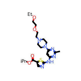 CCOCCOCCN1CCN(c2cc(Nc3ncc(C(=O)OC(C)C)s3)nc(C)n2)CC1